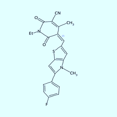 CCN1C(=O)C(C#N)=C(C)/C(=C/c2cc3c(cc(-c4ccc(F)cc4)n3C)s2)C1=O